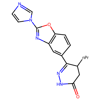 CCCC1CC(=O)NN=C1c1ccc2oc(-n3ccnc3)nc2c1